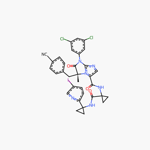 C[C@@]1(Cc2ccc(C#N)cc2)C(=O)N(c2cc(Cl)cc(Cl)c2)c2ncc(C(=O)NC3(C(=O)NC4(c5ccc(I)cn5)CC4)CC3)n21